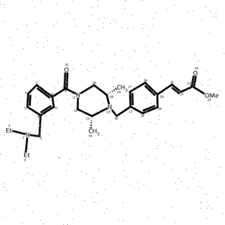 CCN(CC)Cc1cccc(C(=O)N2C[C@@H](C)N(Cc3ccc(C=CC(=O)OC)cc3)[C@@H](C)C2)c1